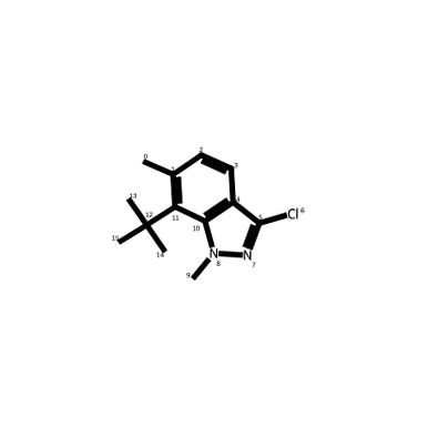 Cc1ccc2c(Cl)nn(C)c2c1C(C)(C)C